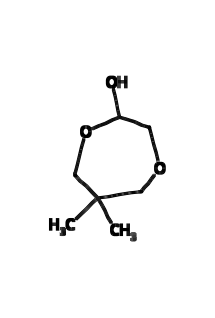 CC1(C)COCC(O)OC1